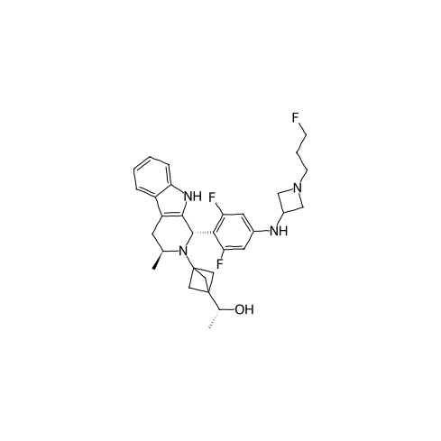 C[C@H]1Cc2c([nH]c3ccccc23)[C@H](c2c(F)cc(NC3CN(CCCF)C3)cc2F)N1C12CC([C@@H](C)O)(C1)C2